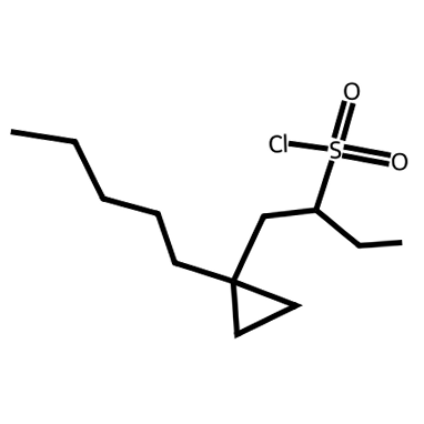 CCCCCC1(CC(CC)S(=O)(=O)Cl)CC1